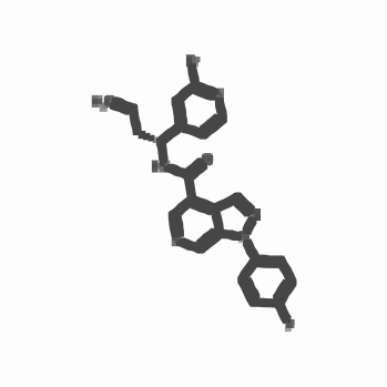 C=CC[C@@H](NC(=O)c1cncc2c1cnn2-c1ccc(F)cc1)c1ccnc(Br)c1